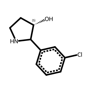 O[C@H]1CCNC1c1cccc(Cl)c1